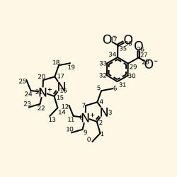 CCC1=NC(CC)C[N+]1(CC)CC.CCC1=NC(CC)C[N+]1(CC)CC.O=C([O-])c1ccccc1C(=O)[O-]